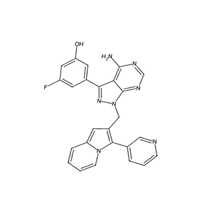 Nc1ncnc2c1c(-c1cc(O)cc(F)c1)nn2Cc1cc2ccccn2c1-c1cccnc1